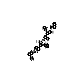 CN1CC[C@H]2CN(c3cc(C4CC[C@H](N(C)CC[C@H]5Cc6c(cccc6N6CCOCC6)CN5)c5ncccc54)cc4c3C[C@H](CN(C)[C@H]3CCC(c5cc6c(c(N7C[C@@H]8CCN(C)[C@H]8C7)c5)C[C@H](CCN(C)[C@H]5CCCc7cccnc75)NC6)c5cccnc53)NC4)C[C@H]21